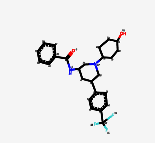 O=C(NC1CC(c2ccc(C(F)(F)F)cc2)CN(C2CCC(O)CC2)C1)c1ccccc1